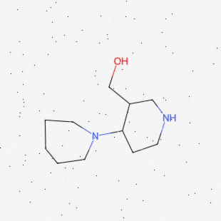 OCC1CNCCC1N1CCCCC1